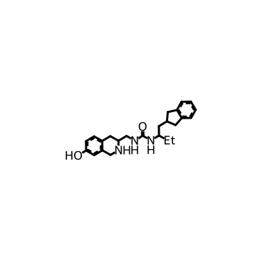 CCC(CC1Cc2ccccc2C1)NC(=O)NCC1Cc2ccc(O)cc2CN1